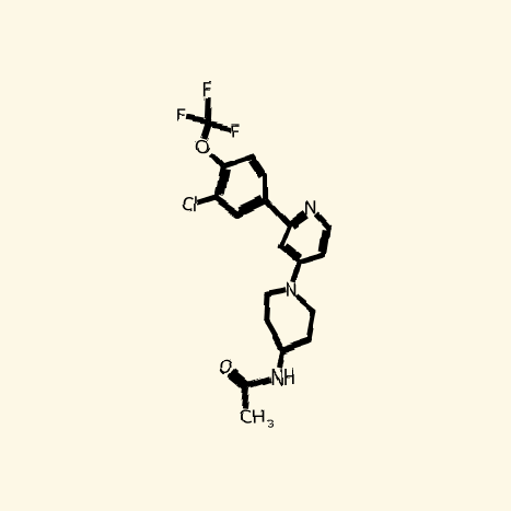 CC(=O)NC1CCN(c2ccnc(-c3ccc(OC(F)(F)F)c(Cl)c3)c2)CC1